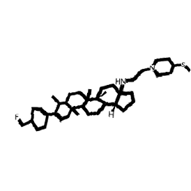 CSC1CCN(CCNC23CCC[C@@H]2C2CCC4C5(C)CC=C(C6=CCC(CF)CC6)C(C)C5CCC4(C)[C@]2(C)CC3)CC1